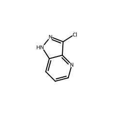 Clc1n[nH]c2cccnc12